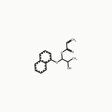 C=CC(=O)OC(Oc1cccc2ccccc12)C(C)O